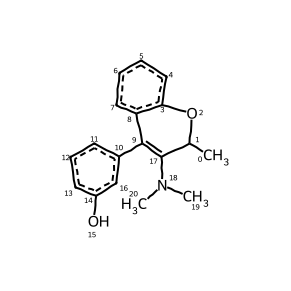 CC1Oc2ccccc2C(c2cccc(O)c2)=C1N(C)C